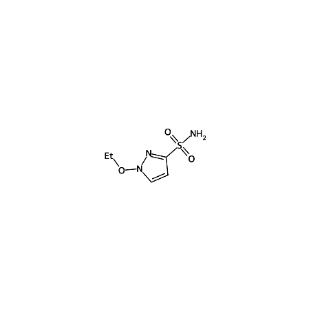 CCOn1ccc(S(N)(=O)=O)n1